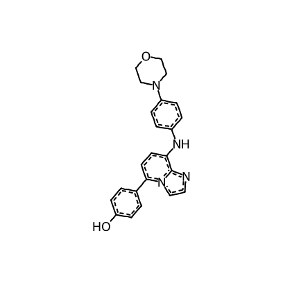 Oc1ccc(-c2ccc(Nc3ccc(N4CCOCC4)cc3)c3nccn23)cc1